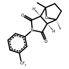 CC12CC[C@](C)(O1)[C@H]1C(=O)N(c3cccc(C(F)(F)F)c3)C(=O)[C@H]12